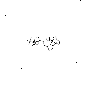 CCC(CCC1CCC2C(=O)C(Cl)(Cl)C12)O[Si](C)(C)C(C)(C)C